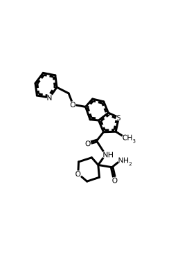 Cc1sc2ccc(OCc3ccccn3)cc2c1C(=O)NC1(C(N)=O)CCOCC1